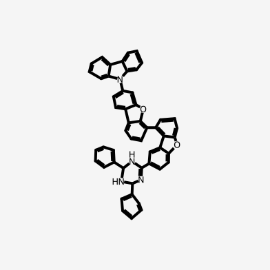 c1ccc(C2N=C(c3ccc4oc5cccc(-c6cccc7c6oc6cc(-n8c9ccccc9c9ccccc98)ccc67)c5c4c3)NC(c3ccccc3)N2)cc1